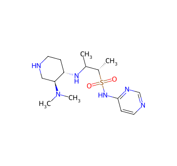 CC(N[C@H]1CCNC[C@@H]1N(C)C)[C@H](C)S(=O)(=O)Nc1ccncn1